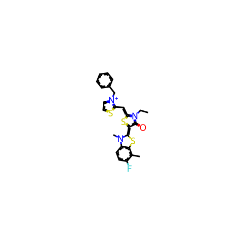 CCn1c(=O)/c(=C2\Sc3c(ccc(F)c3C)N2C)s/c1=C\c1scc[n+]1Cc1ccccc1